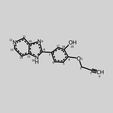 C#CCOc1ccc(-c2nc3cnccc3[nH]2)cc1O